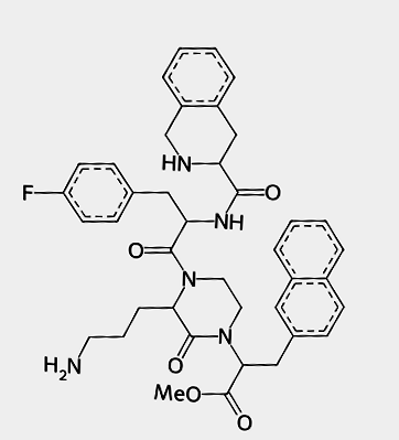 COC(=O)C(Cc1ccc2ccccc2c1)N1CCN(C(=O)C(Cc2ccc(F)cc2)NC(=O)C2Cc3ccccc3CN2)C(CCCN)C1=O